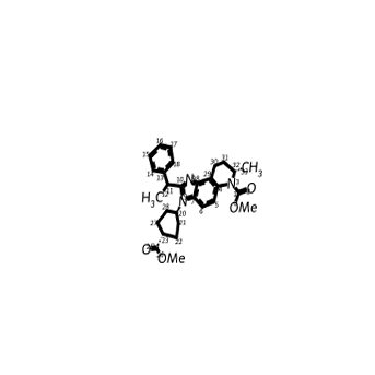 COC(=O)N1c2ccc3c(nc(C(C)c4ccccc4)n3[C@H]3CC[C@H](C(=O)OC)CC3)c2CC[C@@H]1C